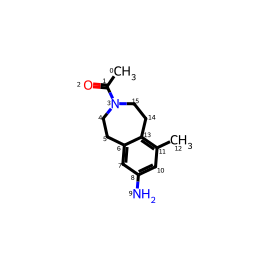 CC(=O)N1CCc2cc(N)cc(C)c2CC1